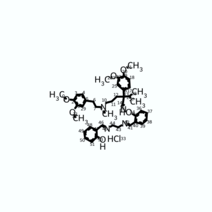 COc1ccc(CCN(C)CCCC(C#N)(c2ccc(OC)c(OC)c2)C(C)C)cc1OC.Cl.Oc1ccccc1/C=N/CC/N=C/c1ccccc1O